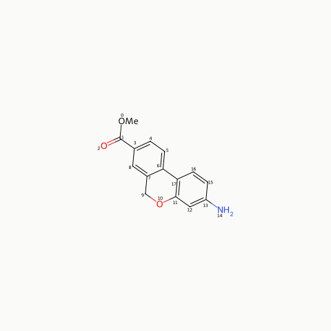 COC(=O)c1ccc2c(c1)COc1cc(N)ccc1-2